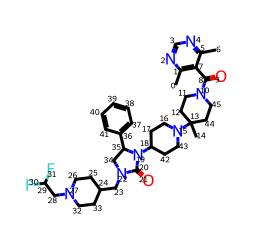 Cc1ncnc(C)c1C(=O)N1CCC(C)(N2CCC(N3C(=O)N(CC4CCN(CC(F)F)CC4)CC3c3ccccc3)CC2)CC1